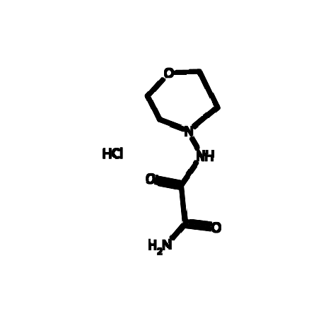 Cl.NC(=O)C(=O)NN1CCOCC1